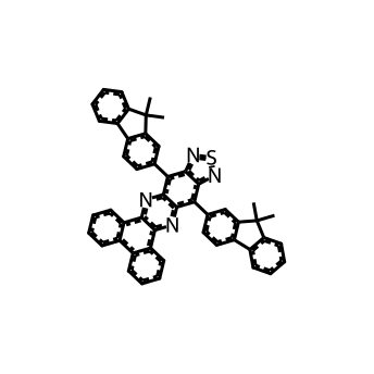 CC1(C)c2ccccc2-c2ccc(-c3c4nsnc4c(-c4ccc5c(c4)C(C)(C)c4ccccc4-5)c4nc5c6ccccc6c6ccccc6c5nc34)cc21